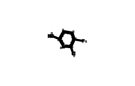 Oc1ccc(F)c(Cl)n1